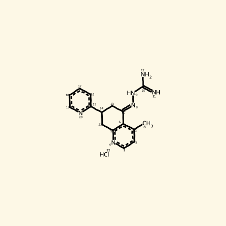 Cc1ccnc2c1C(=NNC(=N)N)CC(c1ccccn1)C2.Cl